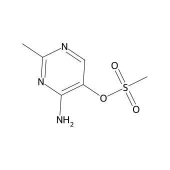 Cc1ncc(OS(C)(=O)=O)c(N)n1